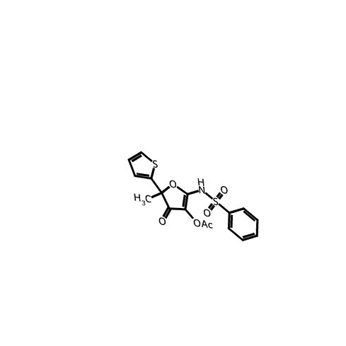 CC(=O)OC1=C(NS(=O)(=O)c2ccccc2)OC(C)(c2cccs2)C1=O